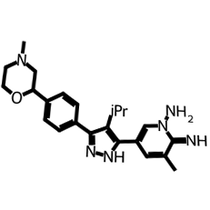 Cc1cc(-c2[nH]nc(-c3ccc(C4CN(C)CCO4)cc3)c2C(C)C)cn(N)c1=N